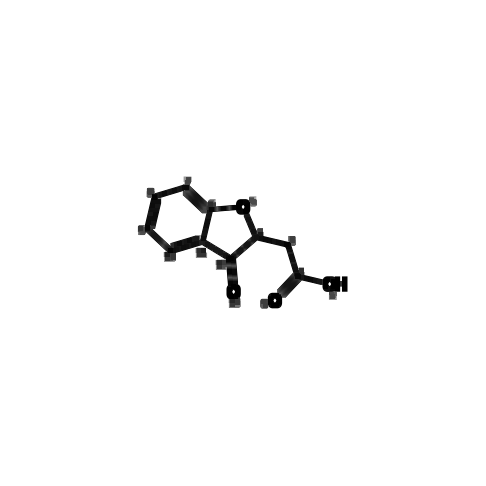 O=C(O)CC1Oc2ccccc2C1=O